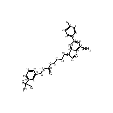 Cc1ccc(-c2nc(N)c3ncn(CCCCCC(=O)NCc4cccc(C(C)(C)F)c4)c3n2)cc1